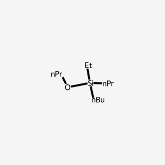 CCCC[Si](CC)(CCC)OCCC